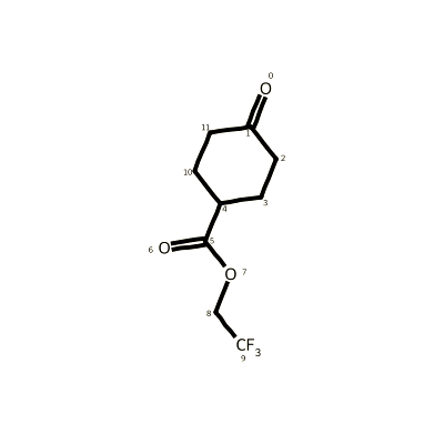 O=C1CCC(C(=O)OCC(F)(F)F)CC1